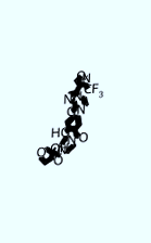 O=C(c1ccc(Oc2nccn3c(-c4conc4C(F)(F)F)cnc23)cc1O)N1CCN(C(=O)[C@]2(O)CCCOC2)CC1